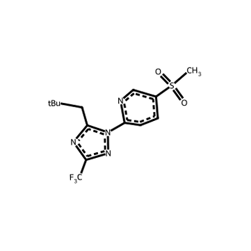 CC(C)(C)Cc1nc(C(F)(F)F)nn1-c1ccc(S(C)(=O)=O)cn1